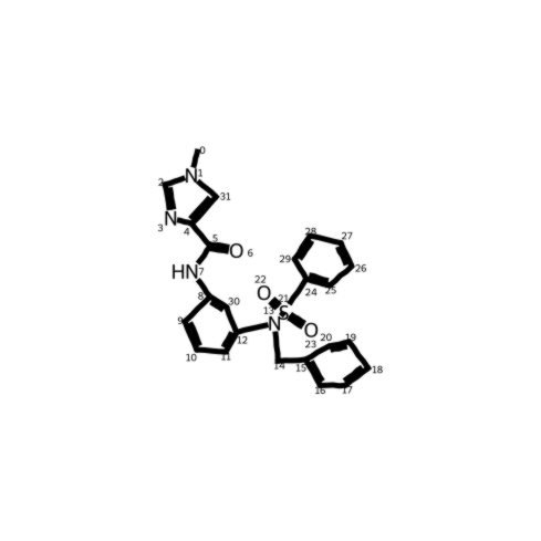 Cn1cnc(C(=O)Nc2cccc(N(Cc3ccccc3)S(=O)(=O)c3ccccc3)c2)c1